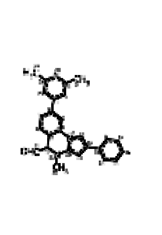 Cc1cc(-c2ccc3c(c2)-n2cc(-c4ccccc4)cc2N(C)C3C=O)cc(C)n1